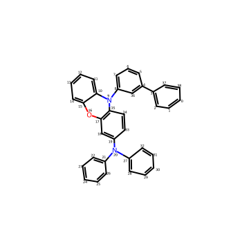 c1ccc(-c2cccc(N3c4ccccc4Oc4cc(N(c5ccccc5)c5ccccc5)ccc43)c2)cc1